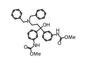 COC(=O)Nc1cccc(C(O)(CCN(Cc2ccccc2)Cc2ccccc2)c2cccc(NC(=O)OC)c2)c1